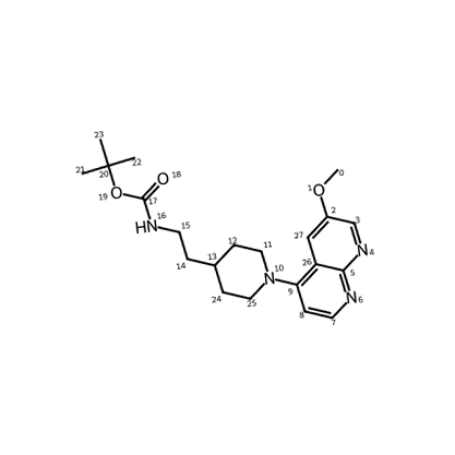 COc1cnc2nccc(N3CCC(CCNC(=O)OC(C)(C)C)CC3)c2c1